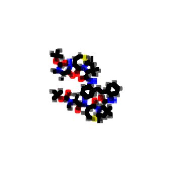 C[C@@H](C(=O)N[C@H]1CCS[C@H]2CC(C)(C)[C@@H](C(=O)Nc3ccccc3CCc3ccccc3NC(=O)[C@H]3N4C(=O)[C@@H](NC(=O)[C@H](C)N(C)C(=O)OC(C)(C)C)CCS[C@H]4CC3(C)C)N2C1=O)N(C)C(=O)OC(C)(C)C